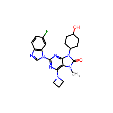 Cn1c(=O)n(C2CCC(O)CC2)c2nc(-n3cnc4ccc(F)cc43)nc(N3CCC3)c21